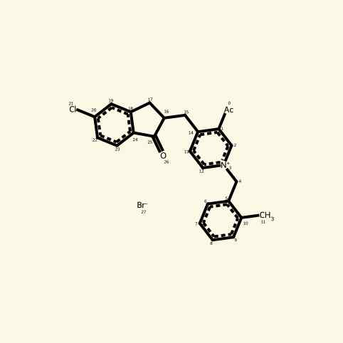 CC(=O)c1c[n+](Cc2ccccc2C)ccc1CC1Cc2cc(Cl)ccc2C1=O.[Br-]